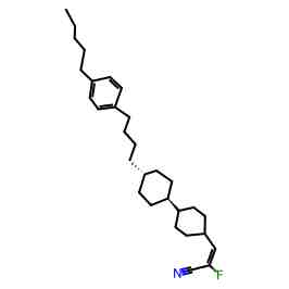 CCCCCc1ccc(CCCC[C@H]2CC[C@H](C3CCC(/C=C(/F)C#N)CC3)CC2)cc1